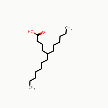 CCCCCCCC(CCCCCC)CCCC(=O)O